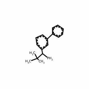 CC(C)(C)C(P)c1cccc(-c2ccccc2)c1